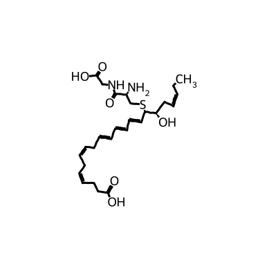 CC/C=C\C[C@@H](O)[C@H](C=CC=CC=CC/C=C\C/C=C\CCC(=O)O)SC[C@H](N)C(=O)NCC(=O)O